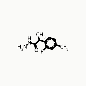 CC(C(=O)NN)c1ccc(C(F)(F)F)cc1F